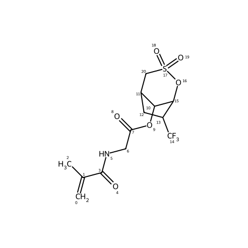 C=C(C)C(=O)NCC(=O)OC1C2CC(C(F)(F)F)C1OS(=O)(=O)C2